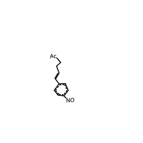 CC(=O)CC/C=C/c1ccc(N=O)cc1